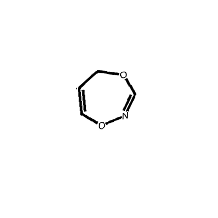 [C]1=CON=COC1